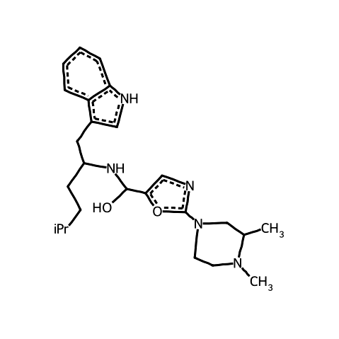 CC(C)CCC(Cc1c[nH]c2ccccc12)NC(O)c1cnc(N2CCN(C)C(C)C2)o1